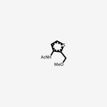 COCc1sccc1NC(C)=O